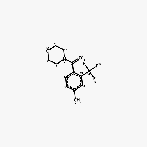 Cc1ccc(C(=O)N2CCOCC2)c(C(F)(F)F)c1